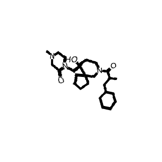 CC(CC1CCCCC1)C(=O)N1CCC(O)(CN2CCN(C)CC2=O)C2(CCCC2)C1